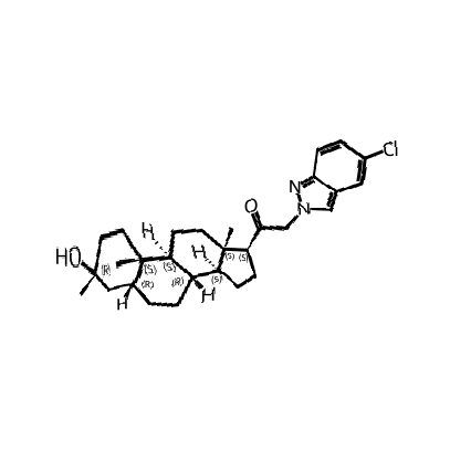 C[C@@]1(O)CC[C@@]2(C)[C@H](CC[C@@H]3[C@@H]2CC[C@]2(C)[C@@H](C(=O)Cn4cc5cc(Cl)ccc5n4)CC[C@@H]32)C1